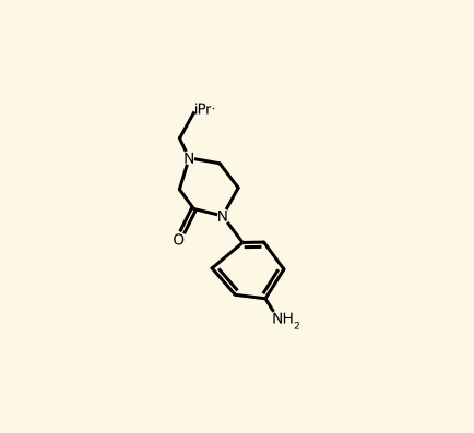 C[C](C)CN1CCN(c2ccc(N)cc2)C(=O)C1